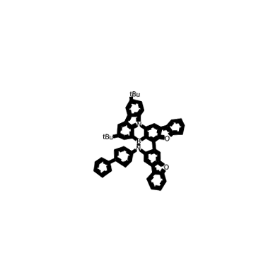 CC(C)(C)c1ccc2c(c1)c1cc(C(C)(C)C)cc3c1n2-c1cc2c(oc4ccccc42)c2c1B3N(c1ccc(-c3ccccc3)cc1)c1cc3c(cc1-2)oc1ccccc13